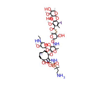 CCN[C@H]1CO[C@@H](O[C@H]2[C@H](O[C@H]3C#C/C=C/C#C[C@]4(O)CC(=O)C(NC(=O)OC)=C3/C4=C\CSSC(C)(C)CCN)O[C@H](C)[C@@H](NO[C@H]3C[C@H](O)[C@H](SC(=O)c4c(C)c(I)c(O[C@@H]5O[C@@H](C)[C@H](O)[C@@H](OC)[C@H]5O)c(OC)c4OC)[C@@H](C)O3)[C@@H]2O)C[C@@H]1OC